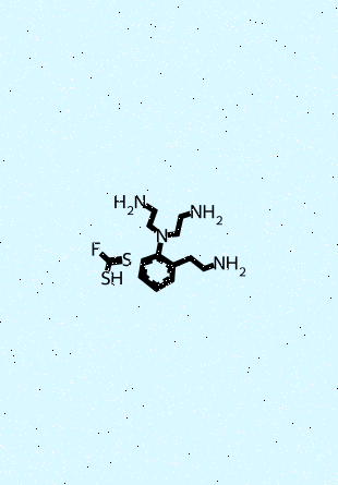 FC(=S)S.NCCc1ccccc1N(CCN)CCN